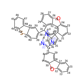 C=N/C(=N\C(=N/C)c1ccc2oc3ccccc3c2c1)c1cccc2oc3cccc(C(c4ccccc4)c4ccc5sc6ccccc6c5c4)c3c12